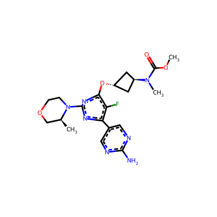 COC(=O)N(C)[C@H]1C[C@H](Oc2nc(N3CCOC[C@@H]3C)nc(-c3cnc(N)nc3)c2F)C1